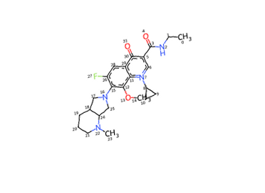 CCNC(=O)c1cn(C2CC2)c2c(OC)c(N3CC4CCCN(C)C4C3)c(F)cc2c1=O